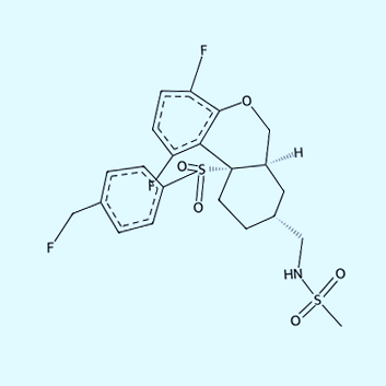 CS(=O)(=O)NC[C@@H]1CC[C@@]2(S(=O)(=O)c3ccc(CF)cc3)c3c(F)ccc(F)c3OC[C@H]2C1